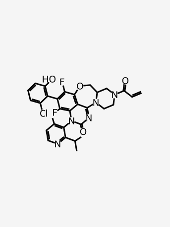 C=CC(=O)N1CCN2c3nc(=O)n(-c4c(C)ccnc4C(C)C)c4c(F)c(-c5c(O)cccc5Cl)c(F)c(c34)OCC2C1